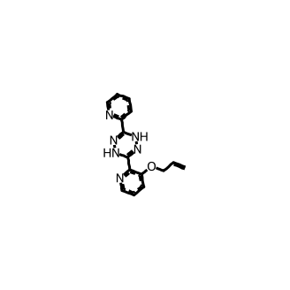 C=CCOc1cccnc1C1=NNC(c2ccccn2)=NN1